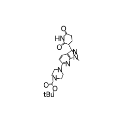 Cn1nc(C2CCC(=O)NC2=O)c2ccc(N3CCN(C(=O)OC(C)(C)C)CC3)nc21